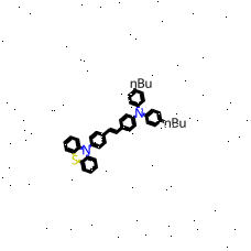 CCCCc1ccc(N(c2ccc(/C=C/c3ccc(N4c5ccccc5Sc5ccccc54)cc3)cc2)c2ccc(CCCC)cc2)cc1